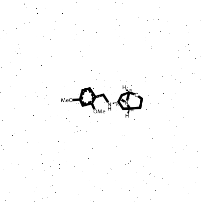 COc1ccc(CN[C@H]2C[C@H]3CCC[C@@H](C2)N3C)c(OC)c1